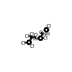 O=C(Nc1ccc(Cl)cc1)c1cc(NC(=O)C2C(c3cc(Cl)cc(Cl)c3)C2(Cl)Cl)ccc1Cl